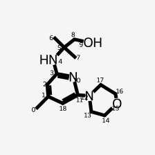 Cc1cc(NC(C)(C)CO)nc(N2CCOCC2)c1